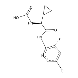 O=C(O)N[C@H](C(=O)Nc1ncc(Cl)cc1F)C1CC1